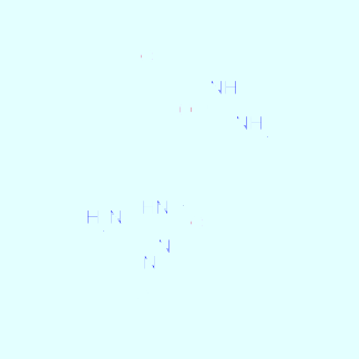 COc1cccc(NC(=O)C(N)c2ccc(C(=O)NC3=NN(c4ccccc4)CC3N)cc2)c1